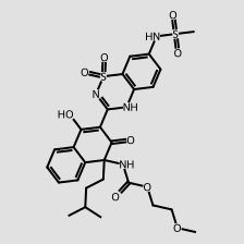 COCCOC(=O)NC1(CCC(C)C)C(=O)C(C2=NS(=O)(=O)c3cc(NS(C)(=O)=O)ccc3N2)=C(O)c2ccccc21